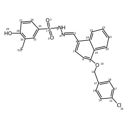 O=S(=O)(N/N=C/c1ccc(OCc2ccc(Cl)cc2)c2ccccc12)c1ccc(O)c(F)c1